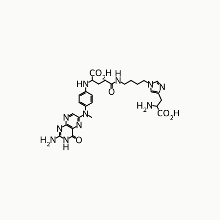 CN(c1ccc(NC(CCC(=O)NCCCCn2cnc(CC(N)C(=O)O)c2)C(=O)O)cc1)c1cnc2nc(N)[nH]c(=O)c2n1